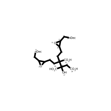 CCCCCCCCCCCC1OC1CCC(CCC1OC1CCCCCCCCCCC)(C(=O)O)C(O)(CC(=O)O)C(=O)O